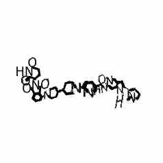 CN1CCC[C@@H]1c1cc2cnc(NC(=O)c3ccc(N4CCC(C5CCN(c6cccc7c6C(=O)N(C6CCC(=O)NC6=O)C7=O)CC5)CC4)nc3)cc2[nH]1